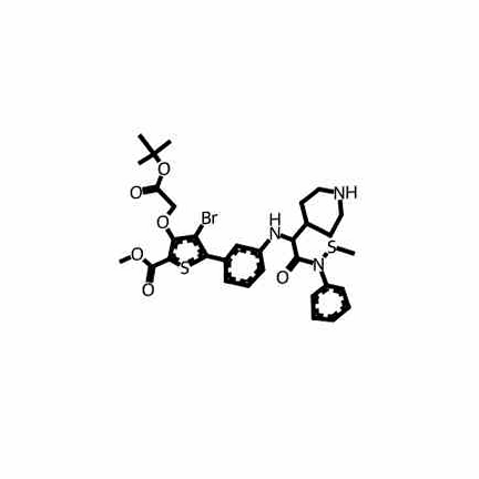 COC(=O)c1sc(-c2cccc(NC(C(=O)N(SC)c3ccccc3)C3CCNCC3)c2)c(Br)c1OCC(=O)OC(C)(C)C